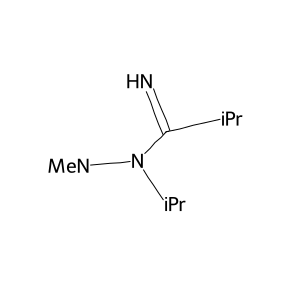 CNN(C(=N)C(C)C)C(C)C